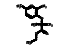 CCOC(=O)C(C)(C)Oc1ccc(C)nc1C